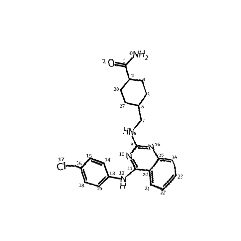 NC(=O)C1CCC(CNc2nc(Nc3ccc(Cl)cc3)c3ccccc3n2)CC1